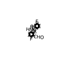 O=Cc1c(F)ccc(NS(=O)(=O)c2cccc(F)c2)c1F